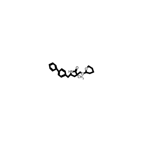 C[C@@]1(COC2CCCCO2)CC(Cc2ccc(-c3ccccc3)cc2)NC1=O